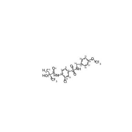 C[C@@](O)(C(=O)Nc1ccc(S(=O)(=O)NCc2ccc(OC(F)(F)F)cc2)cc1Cl)C(F)(F)F